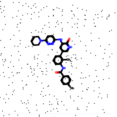 Cc1c(NC(=O)c2ccc(C(C)(C)C)cc2)cccc1-c1c[nH]c(=O)c(Nc2ccc(N3CC=CCC3)nn2)c1